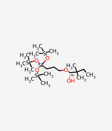 CCC(C)(C)[C@H](O)OCCC[Si](O[Si](C)(C)C)(O[Si](C)(C)C)O[Si](C)(C)C